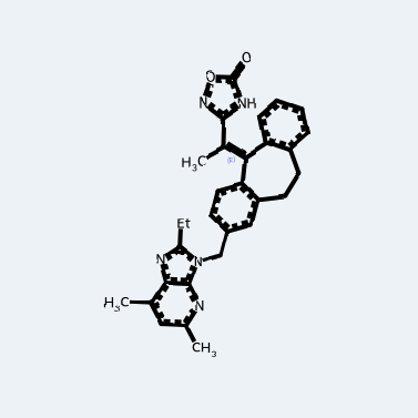 CCc1nc2c(C)cc(C)nc2n1Cc1ccc2c(c1)CCc1ccccc1/C2=C(/C)c1noc(=O)[nH]1